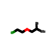 CCCCC(CC)COCCCl